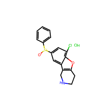 Cl.[O-][S+](c1ccccc1)c1cc(Cl)c2oc3c(c2c1)CNCC3